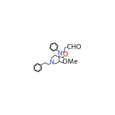 COC(=O)C1(N(CCC=O)c2ccccc2)CCN(CCc2ccccc2)CC1C